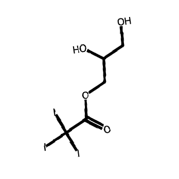 O=C(OCC(O)CO)C(I)(I)I